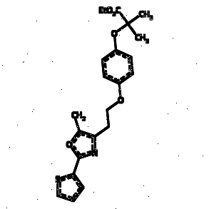 CCOC(=O)C(C)(C)Oc1ccc(OCCc2nc(-c3cccs3)oc2C)cc1